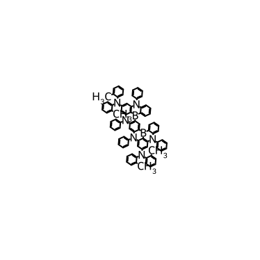 Cc1ccccc1N(c1cc2c3c(c1)N(c1ccccc1)c1cc4c(cc1B3c1ccccc1N2c1ccccc1)B1c2ccccc2N(c2ccccc2)c2cc(N(c3ccccc3C)c3ccccc3C)cc(c21)N4c1ccccc1)c1ccccc1C